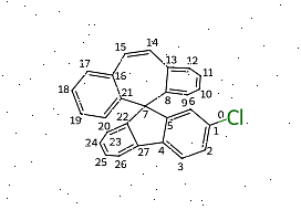 Clc1ccc2c(c1)C1(c3ccccc3C=Cc3ccccc31)c1ccccc1-2